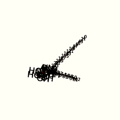 CCCCCCCCCCCCCCCCCCCCCCCCCC(=O)N[C@@H](COP(=O)(O)OC1C(O)C(O)C(O)[C@@H](O)C1O)[C@H](O)CCCCCCCCCCCCCCC